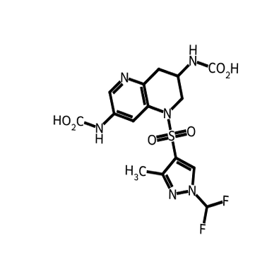 Cc1nn(C(F)F)cc1S(=O)(=O)N1CC(NC(=O)O)Cc2ncc(NC(=O)O)cc21